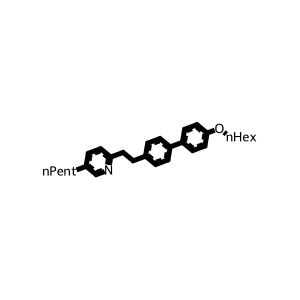 CCCCCCOc1ccc(-c2ccc(CCc3ccc(CCCCC)cn3)cc2)cc1